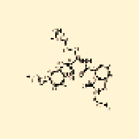 CCN1Cc2cccc(C(=O)NC(CCCNC)c3nc4cc(OC)ccc4[nH]3)c2C1=O